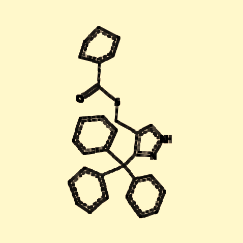 O=C(SCc1c[nH]nc1C(c1ccccc1)(c1ccccc1)c1ccccc1)c1ccccc1